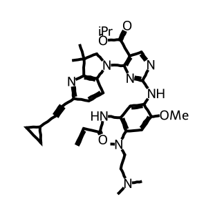 C=CC(=O)Nc1cc(Nc2ncc(C(=O)OC(C)C)c(N3CC(C)(C)c4nc(C#CC5CC5)ccc43)n2)c(OC)cc1N(C)CCN(C)C